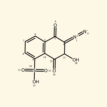 [N-]=[N+]=C1C(=O)c2cccc(S(=O)(=O)O)c2C(=O)C1O